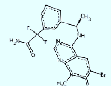 C[C@@H](Nc1ncnc2c1cc(Br)c(=O)n2C)c1cccc(C(F)(F)C(N)=O)c1